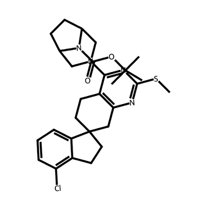 CSc1nc2c(c(N3CC4CCC(C3)N4C(=O)OC(C)(C)C)n1)CCC1(CCc3c(Cl)cccc31)C2